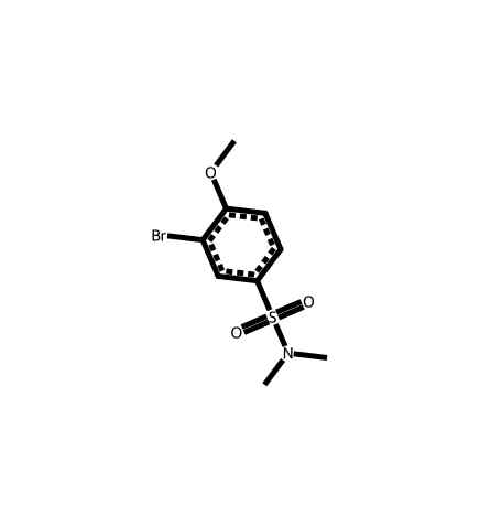 COc1ccc(S(=O)(=O)N(C)C)cc1Br